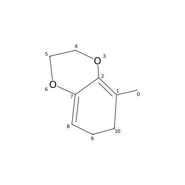 CC1=C2OCCOC2=CCC1